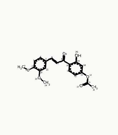 COc1ccc(/C=C/C(=O)c2ccc(OC(C)=O)cc2O)cc1OC